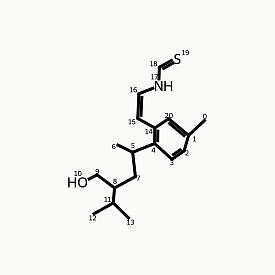 Cc1ccc(C(C)CC(CO)C(C)C)c(/C=C\NC=S)c1